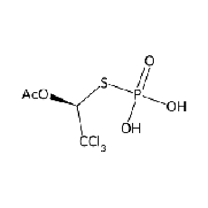 CC(=O)O[C@@H](SP(=O)(O)O)C(Cl)(Cl)Cl